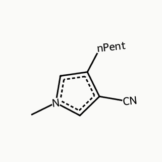 CCCCCc1cn(C)cc1C#N